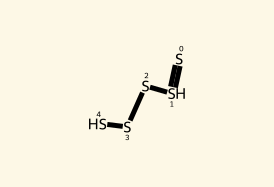 S=[SH]SSS